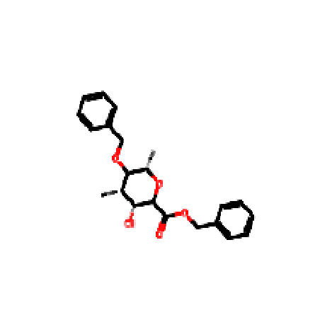 C[C@@H]1OC(C(=O)OCc2ccccc2)[C@H](O)[C@H](C)C1OCc1ccccc1